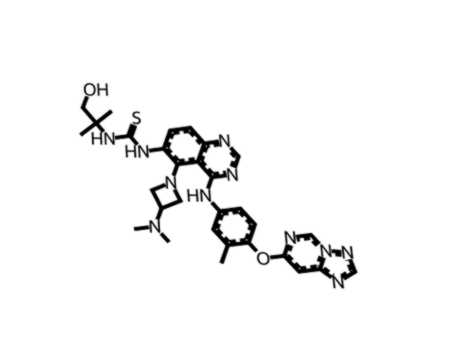 Cc1cc(Nc2ncnc3ccc(NC(=S)NC(C)(C)CO)c(N4CC(N(C)C)C4)c23)ccc1Oc1cc2ncnn2cn1